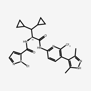 CCn1nccc1C(=O)N[C@H](C(=O)Nc1ccc(-c2c(C)n[nH]c2C)c(C(F)(F)F)n1)C(C1CC1)C1CC1